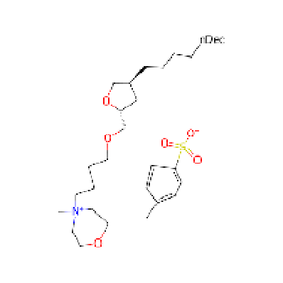 CCCCCCCCCCCCCC[C@@H]1CO[C@@H](COCCCC[N+]2(C)CCOCC2)C1.Cc1ccc(S(=O)(=O)[O-])cc1